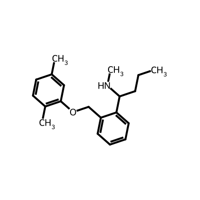 CCCC(NC)c1ccccc1COc1cc(C)ccc1C